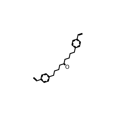 C=Cc1ccc(CCCCC(=O)CCCCc2ccc(C=C)cc2)cc1